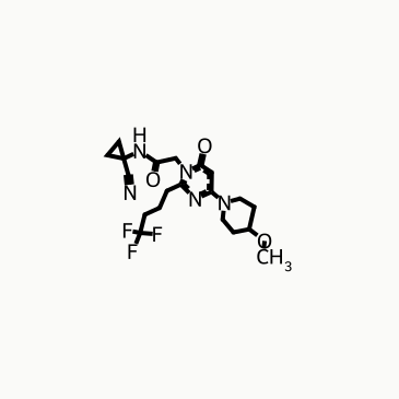 COC1CCN(c2cc(=O)n(CC(=O)NC3(C#N)CC3)c(CCCC(F)(F)F)n2)CC1